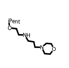 CCCC(C)OCCNCCCN1CCOCC1